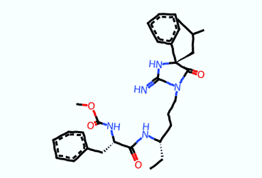 CC[C@@H](CCCN1C(=N)N[C@](CC(C)C)(c2ccccc2)C1=O)NC(=O)[C@H](Cc1ccccc1)NC(=O)OC